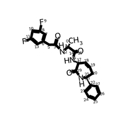 C[C@H](NC(=O)Cc1cc(F)cc(F)c1)C(=O)N[C@H]1C=CC[C@@H](c2ccccc2)NC1=O